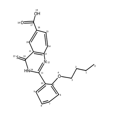 CCCCOc1ccccc1-c1nc2ccc(C(=O)O)cc2c(=S)[nH]1